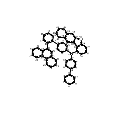 c1ccc(-c2ccc(N(c3ccc(-c4ccccc4-c4cc5ccccc5c5ccccc45)cc3)c3cccc4oc5cc6ccccc6cc5c34)cc2)cc1